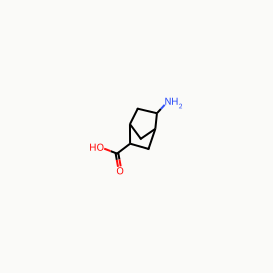 NC1CC2CC1CC2C(=O)O